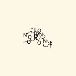 CCOC(=O)CNC(=O)C1C(N2CCCC(F)(F)C2)CCN1S(=O)(=O)c1cccc(C#N)c1